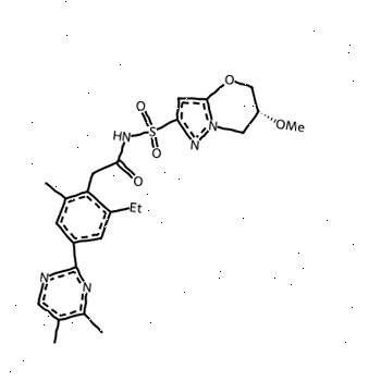 CCc1cc(-c2ncc(C)c(C)n2)cc(C)c1CC(=O)NS(=O)(=O)c1cc2n(n1)C[C@@H](OC)CO2